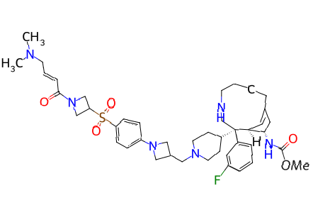 COC(=O)N[C@H]1CC2=C[C@@H]1[C@](c1cccc(F)c1)(C1CCN(CC3CN(c4ccc(S(=O)(=O)C5CN(C(=O)/C=C/CN(C)C)C5)cc4)C3)CC1)CNCCCC2